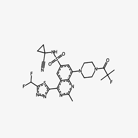 Cc1nc(-c2nnc(C(F)F)s2)c2cc(S(=O)(=O)NC3(C#N)CC3)cc(N3CCN(C(=O)C(C)(C)F)CC3)c2n1